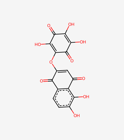 O=C1C(O)=C(O)C(=O)C(OC2=CC(=O)c3c(ccc(O)c3O)C2=O)=C1O